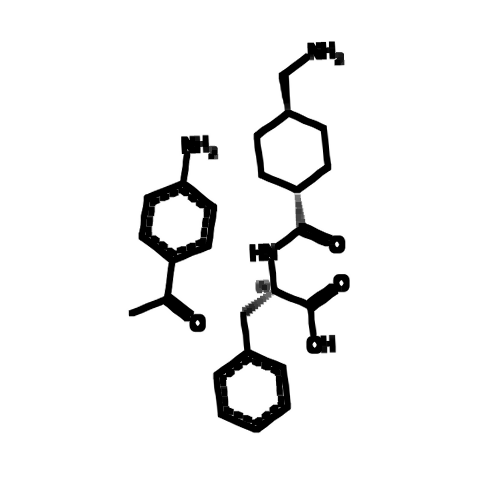 CC(=O)c1ccc(N)cc1.NC[C@H]1CC[C@H](C(=O)N[C@@H](Cc2ccccc2)C(=O)O)CC1